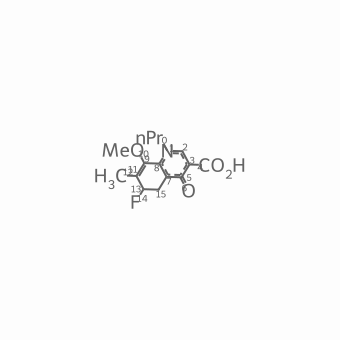 CCCn1cc(C(=O)O)c(=O)c2c1C(OC)=C(C)C(F)C2